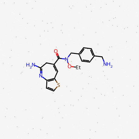 CCON(Cc1ccc(CN)cc1)C(=O)C1=Cc2sccc2N=C(N)C1